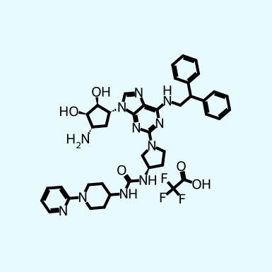 N[C@H]1C[C@@H](n2cnc3c(NCC(c4ccccc4)c4ccccc4)nc(N4CC[C@@H](NC(=O)NC5CCN(c6ccccn6)CC5)C4)nc32)[C@H](O)[C@@H]1O.O=C(O)C(F)(F)F